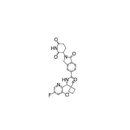 O=C1CCC(N2Cc3cc(C(=O)N[C@H](c4ncc(F)cc4Cl)C4(F)CCC4)ccc3C2=O)C(=O)N1